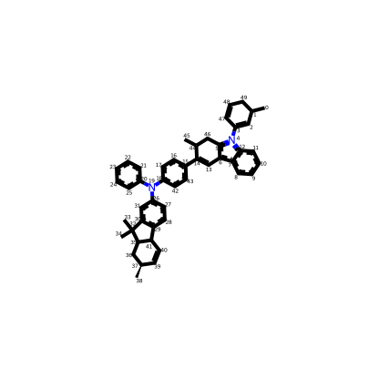 CC1C=C(n2c3c(c4ccccc42)C=C(c2ccc(N(c4ccccc4)c4ccc5c(c4)C(C)(C)C4C[C@H](C)C=CC54)cc2)C(C)C3)C=CC1